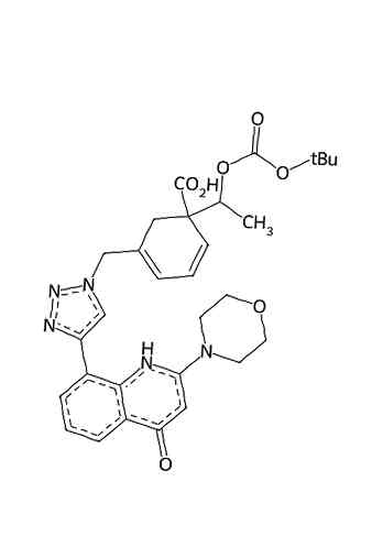 CC(OC(=O)OC(C)(C)C)C1(C(=O)O)C=CC=C(Cn2cc(-c3cccc4c(=O)cc(N5CCOCC5)[nH]c34)nn2)C1